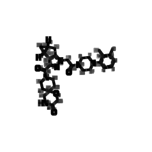 Cc1cccc(N2CCN(C(=O)Cn3nc(C(=O)N4CCC5(CC4)CNC(=O)CO5)c4c3C[C@H]3C[C@@H]43)CC2)c1C